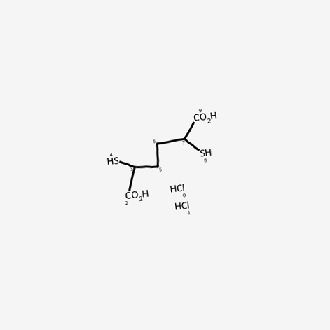 Cl.Cl.O=C(O)C(S)CCC(S)C(=O)O